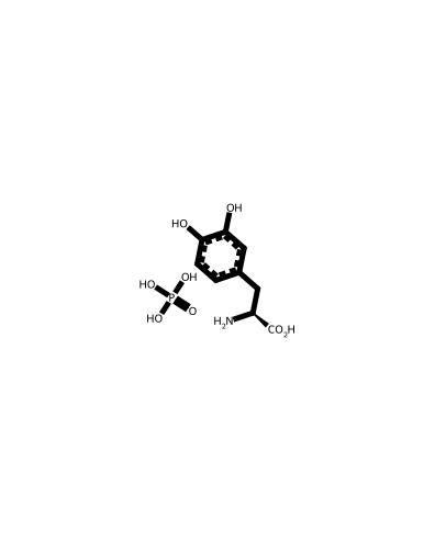 N[C@@H](Cc1ccc(O)c(O)c1)C(=O)O.O=P(O)(O)O